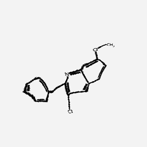 COc1ccc2cc(Cl)c(-c3ccccc3)nc2c1